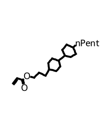 C=CC(=O)OCCCC1CCC(C2CCC(CCCCC)CC2)CC1